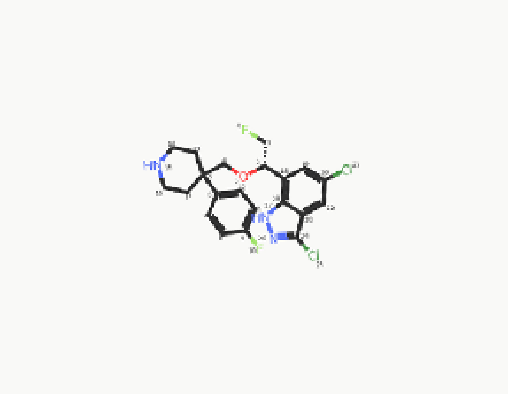 FC[C@@H](OCC1(c2ccc(F)cc2)CCNCC1)c1cc(Cl)cc2c(Cl)n[nH]c12